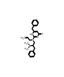 C=CCN(CC(Cc1ccccc1)N(C)C)c1nc(=O)cc(Cc2ccccc2)[nH]1